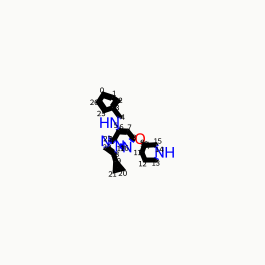 c1ccc(CNc2cc(O[C@@H]3CCCNC3)nn3c(C4CC4)cnc23)cc1